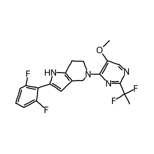 COc1cnc(C(C)(F)F)nc1N1CCc2[nH]c(-c3c(F)cccc3F)cc2C1